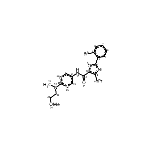 CCCc1nc(-c2ccccc2Br)oc1C(=O)Nc1cnc(N(C)CCOC)nc1